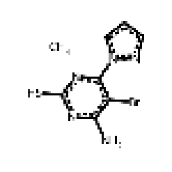 C.Nc1nc(S)nc(-n2cccn2)c1Br